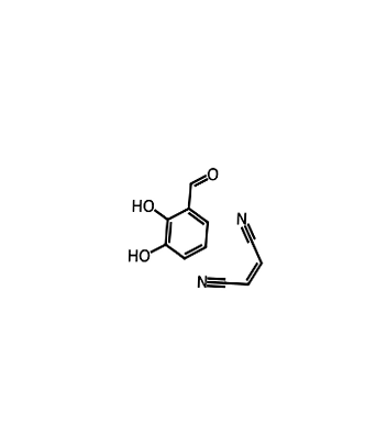 N#C/C=C\C#N.O=Cc1cccc(O)c1O